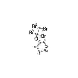 Br[C](Br)C(Br)(Br)Oc1ccccc1